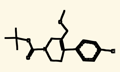 COCC1=C(c2ccc(Cl)cc2)CCN(C(=O)OC(C)(C)C)C1